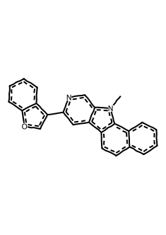 Cn1c2cnc(-c3coc4ccccc34)cc2c2ccc3ccccc3c21